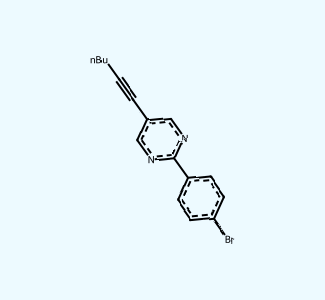 CCCCC#Cc1cnc(-c2ccc(Br)cc2)nc1